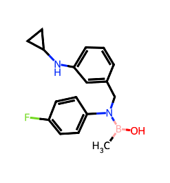 CB(O)N(Cc1cccc(NC2CC2)c1)c1ccc(F)cc1